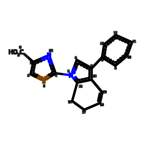 O=C(O)c1csc(-n2cc(-c3ccccc3)c3c2CCC=C3)n1